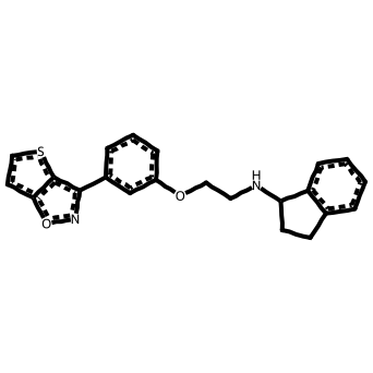 c1cc(OCCNC2CCc3ccccc32)cc(-c2noc3ccsc23)c1